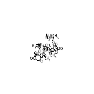 COc1cc2c(cc1OCC(C)(C)CC(C)(C)COc1cc3c(cc1OC)C(=O)CCC1CC(=O)C[C@H]1C(=O)N3COCC[Si](C)(C)C)N(COCC[Si](C)(C)C)C(=O)C1CC(=O)CN1C2=O